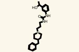 CC(O)c1cccc(NC(=O)NCCCN2CCC(Cc3ccccc3)CC2)c1